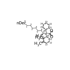 CCCCCCCCCCCCCCCCC(C)C1(c2cccc(C)c2C)C(=O)Oc2ccccc21